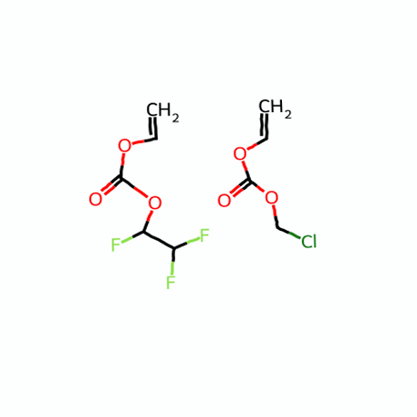 C=COC(=O)OC(F)C(F)F.C=COC(=O)OCCl